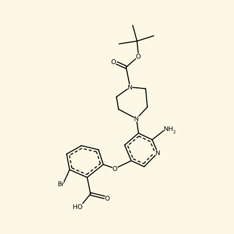 CC(C)(C)OC(=O)N1CCN(c2cc(Oc3cccc(Br)c3C(=O)O)cnc2N)CC1